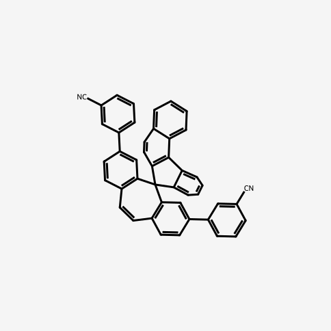 N#Cc1cccc(-c2ccc3c(c2)C2(c4cc(-c5cccc(C#N)c5)ccc4C=C3)c3ccccc3-c3c2ccc2ccccc32)c1